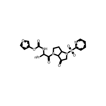 CCCC(NC(=O)Oc1ccoc1)C(=O)N1CCC2C1C(=O)CN2S(=O)(=O)c1ccccn1